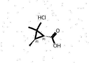 C[C@@H]1[C@@H](C(=O)O)C1(C)C.Cl